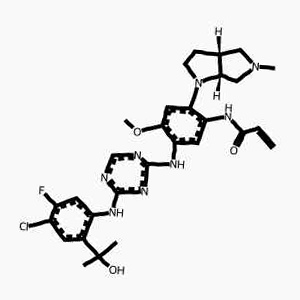 C=CC(=O)Nc1cc(Nc2ncnc(Nc3cc(F)c(Cl)cc3C(C)(C)O)n2)c(OC)cc1N1CC[C@@H]2CN(C)C[C@@H]21